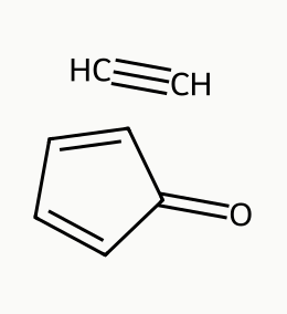 C#C.O=C1C=CC=C1